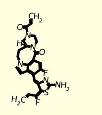 C=CC(=O)N1CCN2C(=O)c3cc(F)c(/C=c4\nc(N)s\c4=C(/F)C=C)c4ccn(c34)CC[C@@H]2C1